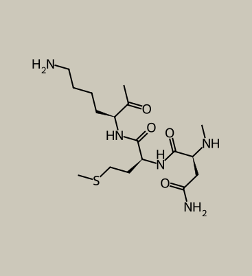 CN[C@@H](CC(N)=O)C(=O)N[C@@H](CCSC)C(=O)N[C@@H](CCCCN)C(C)=O